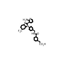 Nc1ncccc1-c1nc2ccc(C(F)(F)F)cc2n1-c1ccc(CNC(=O)c2cccc(CC(=O)O)c2)cc1